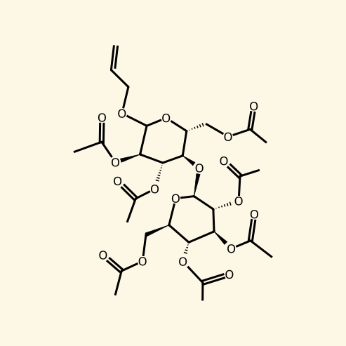 C=CCOC1O[C@H](COC(C)=O)[C@@H](O[C@@H]2O[C@H](COC(C)=O)[C@@H](OC(C)=O)[C@H](OC(C)=O)[C@H]2OC(C)=O)[C@H](OC(C)=O)[C@H]1OC(C)=O